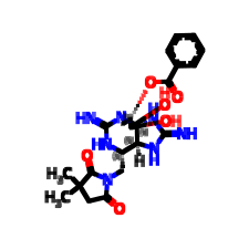 CC1(C)CC(=O)N(C[C@@H]2NC(=N)N3C[C@H](OC(=O)c4ccccc4)C(O)(O)[C@@]34NC(=N)N[C@@H]24)C1=O